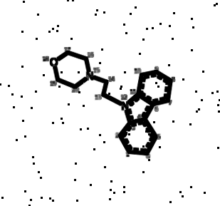 c1ccc2c(c1)c1ccccc1n2CCN1CCOCC1